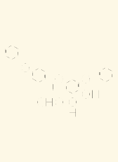 O=CC1C=C(c2ccc(OCc3ccccc3)cc2)Oc2cc(OCc3ccccc3)c(O)c(O)c21